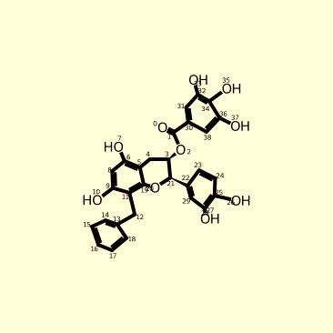 O=C(O[C@@H]1Cc2c(O)cc(O)c(Cc3ccccc3)c2O[C@@H]1c1ccc(O)c(O)c1)c1cc(O)c(O)c(O)c1